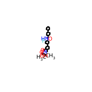 CC(C)C(C(=O)O)N1Cc2ccc(-c3ccc(NC(=O)c4ccc(-c5ccccc5)cc4)c(F)c3)cc2C1=O